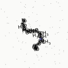 CN1CC/C(=N\NC(=O)CC(C)(C)SSCCC(=O)N2CCN(C3CCN(C(=O)NCc4ccc(NC(=O)[C@H]5C[C@@H]5c5cccnc5)cc4F)CC3)CC2)c2ccc(OCCCC(=O)ON3C(=O)CCC3=O)cc21